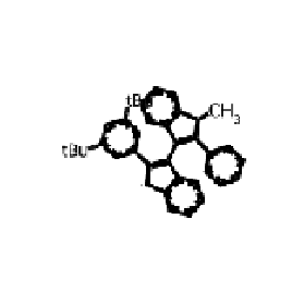 CC1C(c2ccccc2)=C(C2=C(c3cc(C(C)(C)C)cc(C(C)(C)C)c3)[CH]c3ccccc32)c2ccccc21